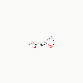 COC(=O)C=C[C@H]1CNCCO1